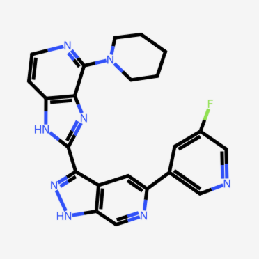 Fc1cncc(-c2cc3c(-c4nc5c(N6CCCCC6)nccc5[nH]4)n[nH]c3cn2)c1